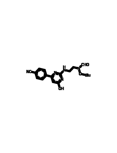 CC(C)(C)ON(C=O)CCNc1nc(O)cc(-c2ccc(C#N)cc2)n1